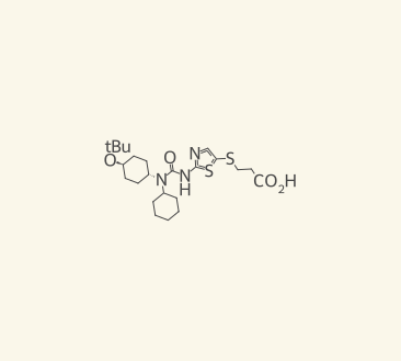 CC(C)(C)O[C@H]1CC[C@H](N(C(=O)Nc2ncc(SCCC(=O)O)s2)C2CCCCC2)CC1